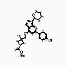 CCC1(COc2cc(-c3ccc(O)cc3)nc3c2cnn3C2CCCCO2)CN(C(=O)OC(C)(C)C)C1